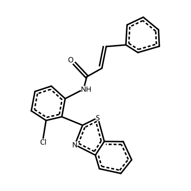 O=C(C=Cc1ccccc1)Nc1cccc(Cl)c1-c1nc2ccccc2s1